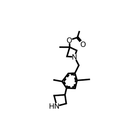 CC(=O)OC1(C)CN(Cc2cc(C)c(C3CNC3)cc2C)C1